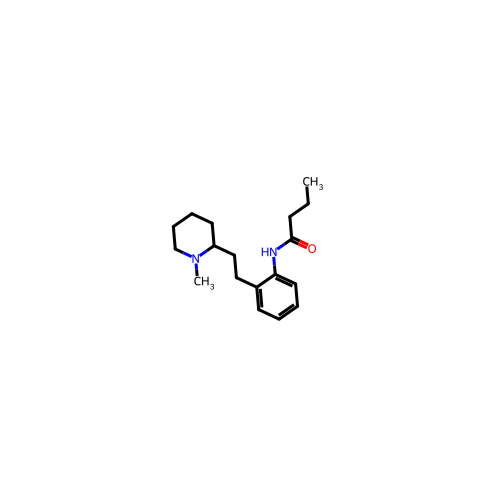 CCCC(=O)Nc1ccccc1CCC1CCCCN1C